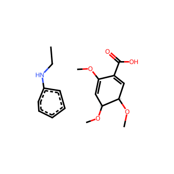 CCNc1ccccc1.CO[C]1C=C(OC)C(C(=O)O)=C[C]1OC